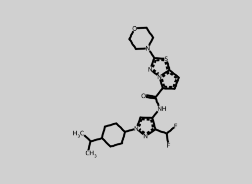 CC(C)C1CCC(n2cc(NC(=O)c3ccc4sc(N5CCOCC5)nn34)c(C(F)F)n2)CC1